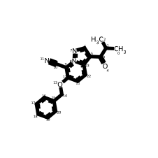 CC(C)C(=O)c1cnn2c(C#N)c(OCc3ccccc3)ccc12